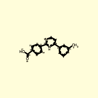 Cc1cccc(-c2ccnc(-c3ccc(C(=O)O)cc3)n2)c1